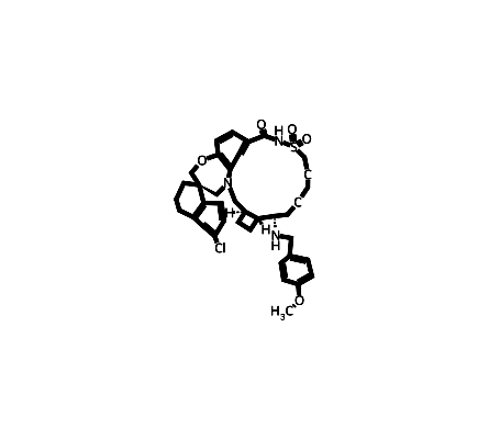 COc1ccc(CN[C@H]2CCCCCS(=O)(=O)NC(=O)c3ccc4c(c3)N(C[C@@H]3CC[C@H]32)C[C@@]2(CCCc3cc(Cl)ccc32)CO4)cc1